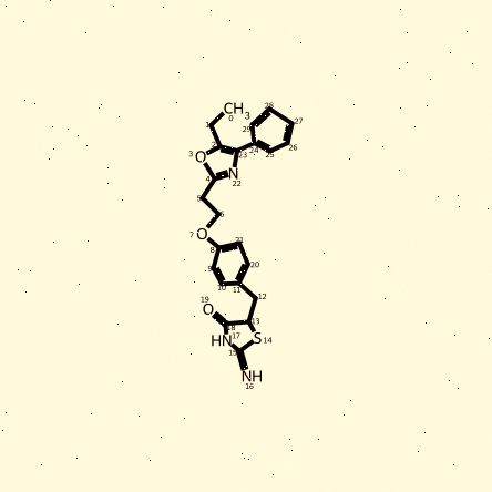 CCc1oc(CCOc2ccc(CC3SC(=N)NC3=O)cc2)nc1-c1ccccc1